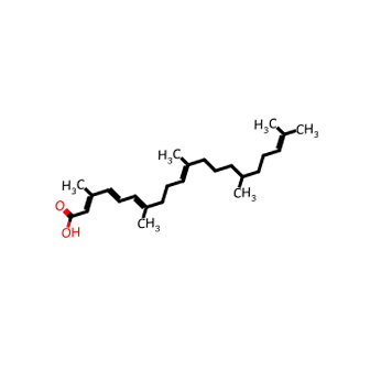 CC(C)=CCCC(C)CCCC(C)=CCCC(C)=CC=CC(C)=CC(=O)O